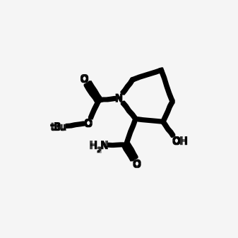 CC(C)(C)OC(=O)N1CCCC(O)C1C(N)=O